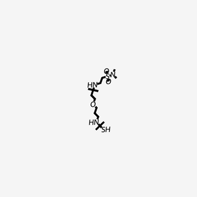 CN(C)S(=O)(=O)CCNC(C)(C)CCOCCCNC(C)(C)S